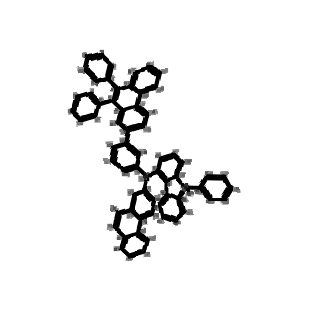 c1ccc(-c2c(-c3ccccc3)c3cc(-c4cccc(N(c5ccc6c(ccc7ccccc76)c5)c5cccc6c5c5ccccc5n6-c5ccccc5)c4)ccc3c3ccccc23)cc1